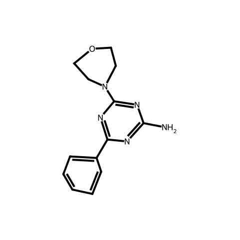 Nc1nc(-c2ccccc2)nc(N2CCOCC2)n1